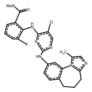 CNC(=O)c1cccc(F)c1Nc1nc(Nc2ccc3c(c2)-n2c(C)cnc2CCC3)ncc1Cl